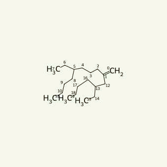 C=C(CCCC(CC)CCCC)CC(CC)CCCC